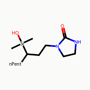 CCCCCC(CCN1CCNC1=O)[Si](C)(C)O